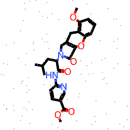 COC(=O)c1ccc(NC(=O)C(CC(C)C)N2CC3=C(Oc4cccc(OC)c4C3)C2=O)nc1